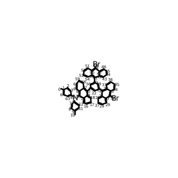 Cc1ccc(N(c2ccc(C)cc2)c2c3ccccc3c(-c3cc(-c4c5ccccc5c(Br)c5ccccc45)cc(-c4c5ccccc5c(Br)c5ccccc45)c3)c3ccccc23)cc1